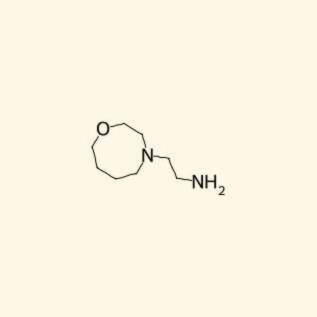 NCCN1CCCCOCC1